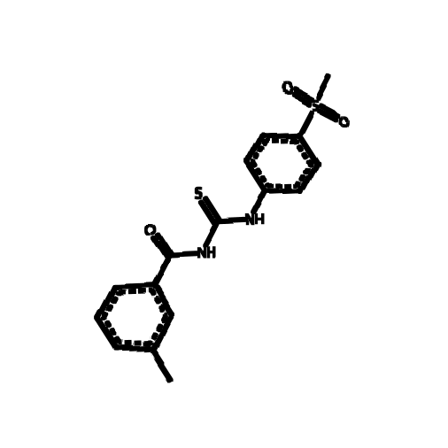 Cc1cccc(C(=O)NC(=S)Nc2ccc(S(C)(=O)=O)cc2)c1